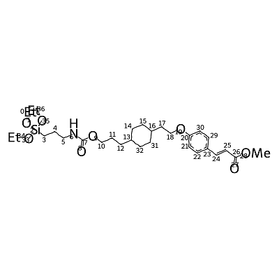 CCO[Si](CCCNC(=O)OCCCC1CCC(CCOc2ccc(/C=C/C(=O)OC)cc2)CC1)(OCC)OCC